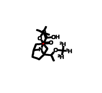 [2H]C([2H])([2H])OC(C)C12CCC(CN(C(=O)O)C1)N2C(=O)OC(C)(C)C